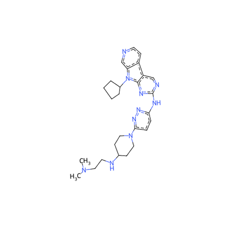 CN(C)CCNC1CCN(c2ccc(Nc3ncc4c5ccncc5n(C5CCCC5)c4n3)nn2)CC1